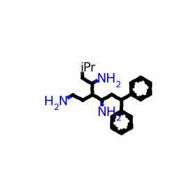 CC(C)CC(N)C(CCN)C(N)CC(c1ccccc1)c1ccccc1